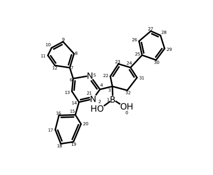 OB(O)C1(c2nc(-c3ccccc3)cc(-c3ccccc3)n2)C=CC(c2ccccc2)=CC1